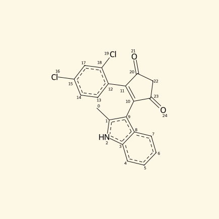 Cc1[nH]c2ccccc2c1C1=C(c2ccc(Cl)cc2Cl)C(=O)CC1=O